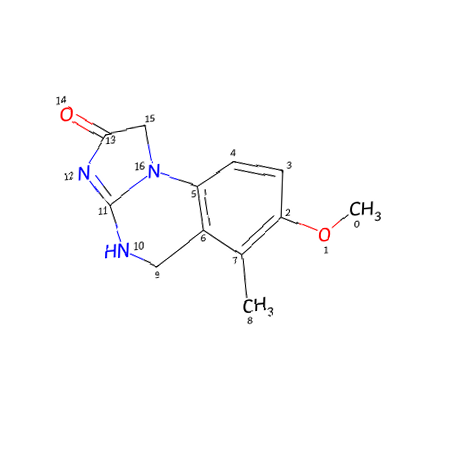 COc1ccc2c(c1C)CNC1=NC(=O)CN12